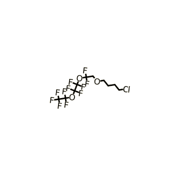 FC(F)(COCCCCCl)OC(F)(F)C(F)(F)OC(F)(F)C(F)(F)F